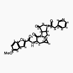 COc1ccc2oc(C(=O)NC(CC3CC3)C(=O)N3CCC4C3C(=O)CN4C(=O)Cc3cccnc3)cc2c1